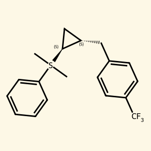 CS(C)(c1ccccc1)[C@H]1C[C@@H]1Cc1ccc(C(F)(F)F)cc1